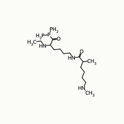 CCNC(CCCCNC(=O)C(C)CCCCNC)C(=O)P(P)P